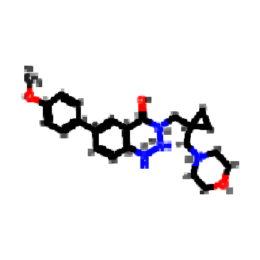 O=C1c2cc(-c3ccc(OC(F)(F)F)cc3)ccc2NNN1CC1(CN2CCOCC2)CC1